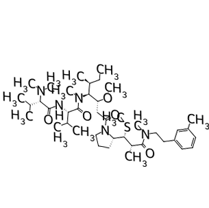 CC[C@H](C)[C@@H]([C@@H](CC(=O)N1CCC[C@H]1[C@H](SC)[C@@H](C)C(=O)N(C)CCc1cccc(C)c1)OC)N(C)C(=O)[C@@H](NC(=O)[C@H](C(C)C)N(C)C)C(C)C